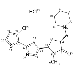 CN1C(=O)[C@H](CN2CCCCC2)C[C@@H]1c1cnc(-c2sccc2Cl)s1.Cl